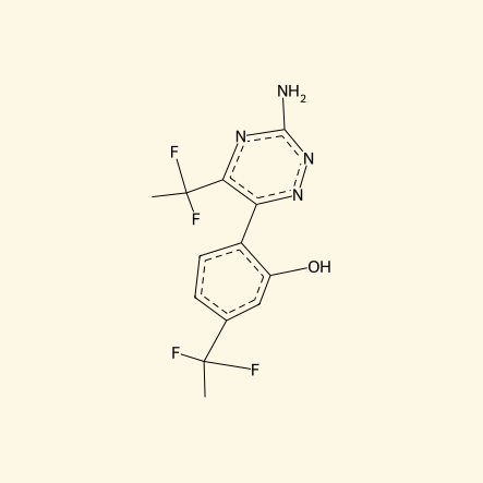 CC(F)(F)c1ccc(-c2nnc(N)nc2C(C)(F)F)c(O)c1